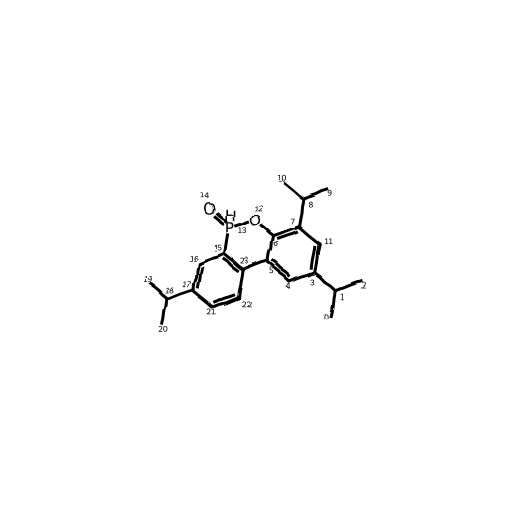 CC(C)c1cc2c(c(C(C)C)c1)O[PH](=O)c1cc(C(C)C)ccc1-2